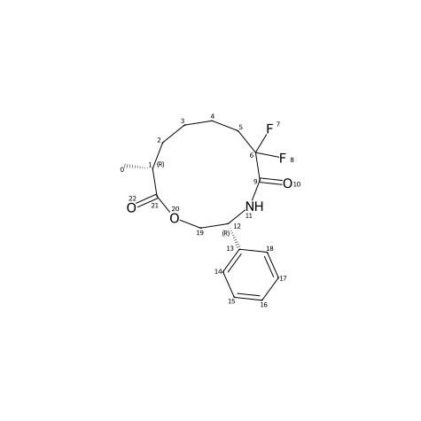 C[C@@H]1CCCCC(F)(F)C(=O)N[C@H](c2ccccc2)COC1=O